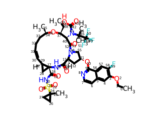 CCOc1cc2ccnc(O[C@@H]3C[C@H]4C(=O)N[C@]5(C(=O)NS(=O)(=O)C6(C)CC6)C[C@H]5/C=C\CC[C@@H](C)O[C@@H](CC)[C@H](N(C(=O)O)C(C)(C)C(F)(F)F)C(=O)N4C3)c2cc1F